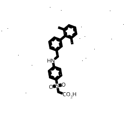 Cc1cccc(C)c1-c1cccc(CNc2ccc(S(=O)(=O)CC(=O)O)cc2)c1